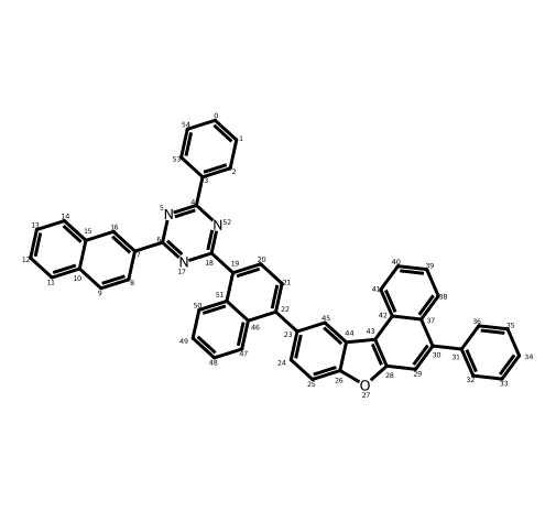 c1ccc(-c2nc(-c3ccc4ccccc4c3)nc(-c3ccc(-c4ccc5oc6cc(-c7ccccc7)c7ccccc7c6c5c4)c4ccccc34)n2)cc1